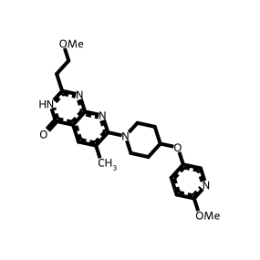 COCCc1nc2nc(N3CCC(Oc4ccc(OC)nc4)CC3)c(C)cc2c(=O)[nH]1